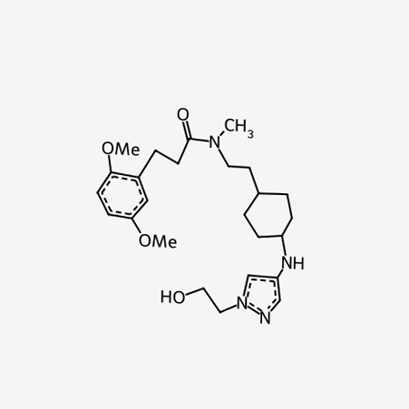 COc1ccc(OC)c(CCC(=O)N(C)CCC2CCC(Nc3cnn(CCO)c3)CC2)c1